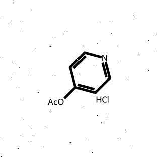 CC(=O)Oc1ccncc1.Cl